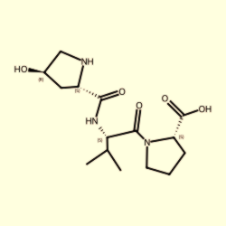 CC(C)[C@H](NC(=O)[C@@H]1C[C@@H](O)CN1)C(=O)N1CCC[C@H]1C(=O)O